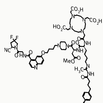 COC(=O)C[C@H](NC(=O)[C@H](CCCC/N=C(\C)NC(=O)CCCc1ccc(I)cc1)NC(=O)CN1CCN(CC(=O)O)CCN(CC(=O)O)CCN(CC(=O)O)CC1)C(=O)N1CCN(CCCCOc2ccc3nccc(C(=O)NCC(=O)N4CC(F)(F)C[C@@H]4C#N)c3c2)CC1